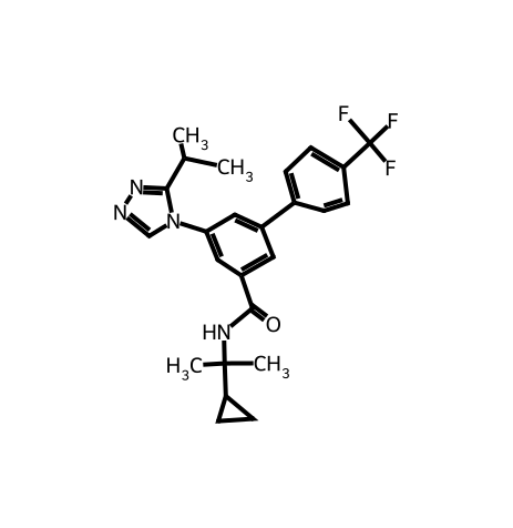 CC(C)c1nncn1-c1cc(C(=O)NC(C)(C)C2CC2)cc(-c2ccc(C(F)(F)F)cc2)c1